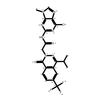 CC(C)c1nn(CC(=O)Nc2nc(Cl)c3ncn(C)c3n2)c(=O)c2ccc(C(F)(F)F)cc12